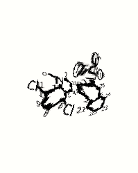 C[n+]1cccc2c(Cl)ccc(Cl)c21.O=S(=O)([O-])c1ccc2ccccc2c1